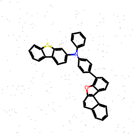 c1ccc(N(c2ccc(-c3cccc4c3oc3ccc5ccccc5c34)cc2)c2ccc3c(c2)sc2ccccc23)cc1